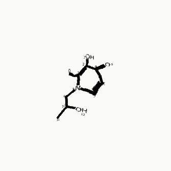 Cc1c(O)c(=O)ccn1CC(C)O